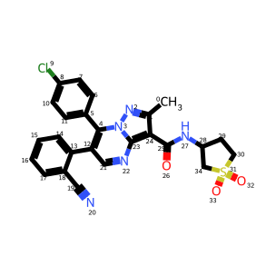 Cc1nn2c(-c3ccc(Cl)cc3)c(-c3ccccc3C#N)cnc2c1C(=O)NC1CCS(=O)(=O)C1